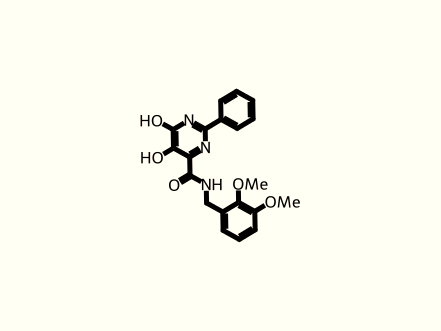 COc1cccc(CNC(=O)c2nc(-c3ccccc3)nc(O)c2O)c1OC